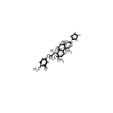 Cn1ccc(OCC[C@@H]2C(C)(C)CCC3[C@]4(C)CO[C@@H](C5CCCC5)O[C@@H]4CC[C@]32C)cc1=O